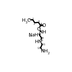 CCCCC(=O)ONCCNCCN.[NaH]